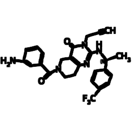 C#CCn1c(N[C@@H](C)c2ccc(C(F)(F)F)cc2)nc2c(c1=O)CN(C(=O)c1cccc(N)c1)CC2